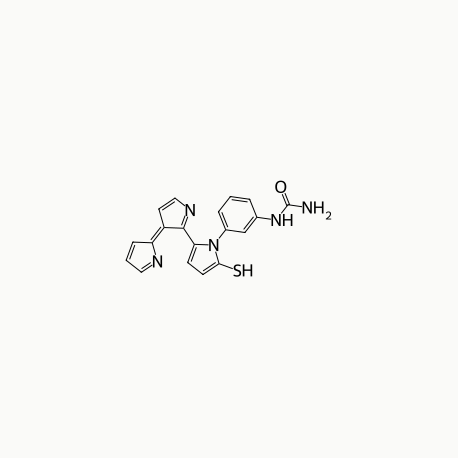 NC(=O)Nc1cccc(-n2c(S)ccc2C2=NC=CC2=C2C=CC=N2)c1